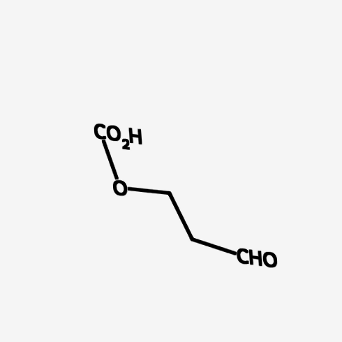 O=CCCOC(=O)O